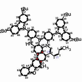 C=C/C=C\C(=C\N1c2cc(-n3c4ccc(C(C)(C)C)cc4c4cc(C(C)(C)C)ccc43)ccc2B2c3ccc(-n4c5ccc(C(C)(C)C)cc5c5cc(C(C)(C)C)ccc54)cc3Nc3cc(-c4ccc5oc6ccccc6c5c4)cc1c32)c1cccc(C)c1